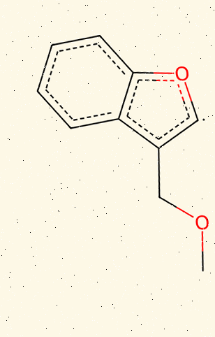 COCc1[c]oc2ccccc12